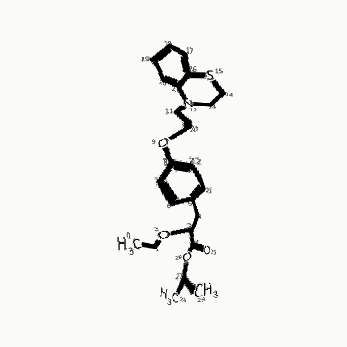 CCOC(Cc1ccc(OCCN2CCSc3ccccc32)cc1)C(=O)OC(C)C